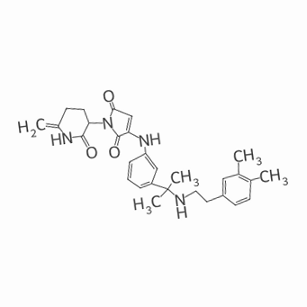 C=C1CCC(N2C(=O)C=C(Nc3cccc(C(C)(C)NCCc4ccc(C)c(C)c4)c3)C2=O)C(=O)N1